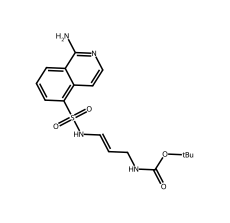 CC(C)(C)OC(=O)NCC=CNS(=O)(=O)c1cccc2c(N)nccc12